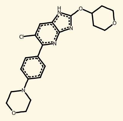 Clc1cc2[nH]c(OC3CCOCC3)nc2nc1-c1ccc(N2CCOCC2)cc1